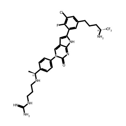 C[C@H](NCCCNC(=N)N)c1ccc(-n2cc3cc(-c4cc(CCC[C@@H](N)C(F)(F)F)cc(Cl)c4F)[nH]c3nc2=O)cc1